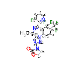 C[C@@H]1N=C(c2ncccc2F)c2c(ccc(C(F)(F)F)c2F)-n2nc(N3CCOC3=O)nc21